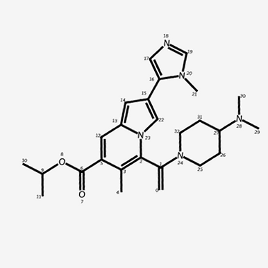 C=C(c1c(C)c(C(=O)OC(C)C)cc2cc(-c3cncn3C)cn12)N1CCC(N(C)C)CC1